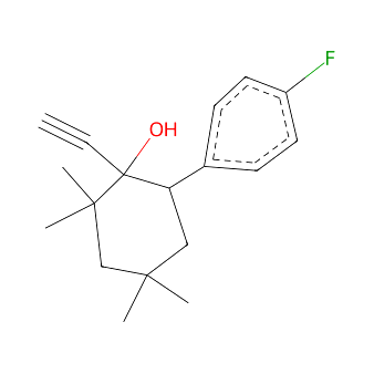 C#CC1(O)C(c2ccc(F)cc2)CC(C)(C)CC1(C)C